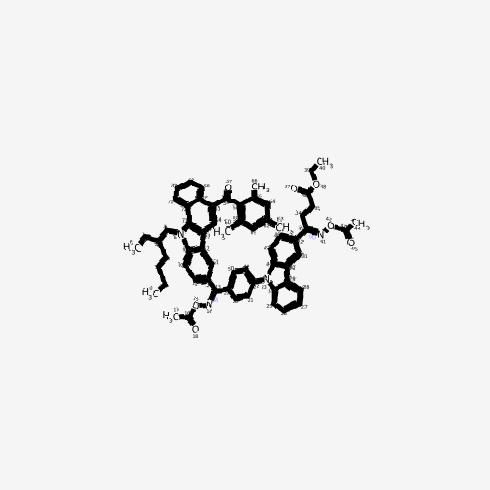 CCCCC(CC)Cn1c2ccc(/C(=N\OC(C)=O)c3ccc(-n4c5ccccc5c5cc(/C(CCC(=O)OCC)=N/OC(C)=O)ccc54)cc3)cc2c2cc(C(=O)c3c(C)cc(C)cc3C)c3ccccc3c21